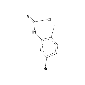 Fc1ccc(Br)cc1NC(=S)Cl